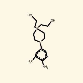 Cc1cc(N2CC[N+](CCO)(CCO)CC2)ccc1N